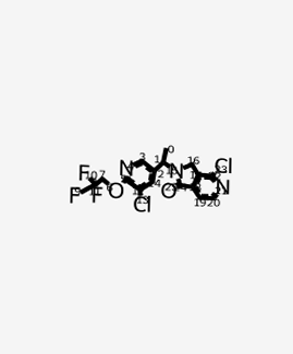 CC(c1cnc(OCC(F)(F)F)c(Cl)c1)N1Cc2c(ccnc2Cl)C1=O